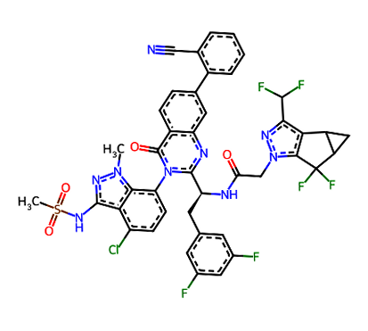 Cn1nc(NS(C)(=O)=O)c2c(Cl)ccc(-n3c([C@H](Cc4cc(F)cc(F)c4)NC(=O)Cn4nc(C(F)F)c5c4C(F)(F)C4CC54)nc4cc(-c5ccccc5C#N)ccc4c3=O)c21